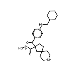 O=C(NO)C1([S+]([O-])c2ccc(NCC3CCCCC3)cc2)CCC2(CCNCC2)C1